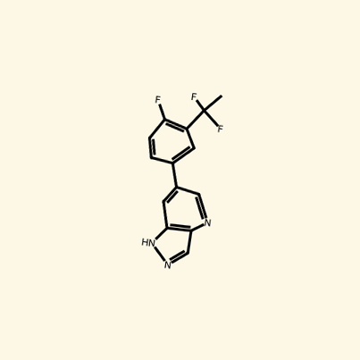 CC(F)(F)c1cc(-c2cnc3cn[nH]c3c2)ccc1F